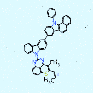 C/C=C\C1=C(C)c2nc(-n3c4ccccc4c4cc(-c5ccc6c(c5)c5ccc7ccccc7c5n6-c5ccccc5)ccc43)nc3cccc(c23)S1